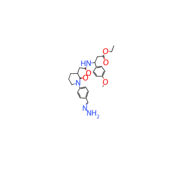 CCOC(=O)CC(NC(=O)CC1CCCN(c2ccc(C=NN)cc2)C1=O)c1ccc(OC)cc1